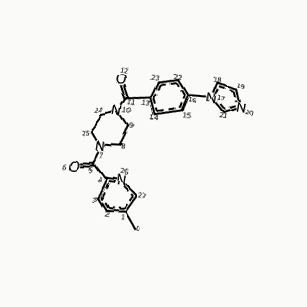 Cc1ccc(C(=O)N2CCN(C(=O)c3ccc(-n4ccnc4)cc3)CC2)nc1